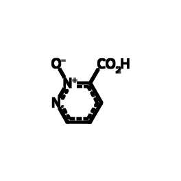 O=C(O)c1cccn[n+]1[O-]